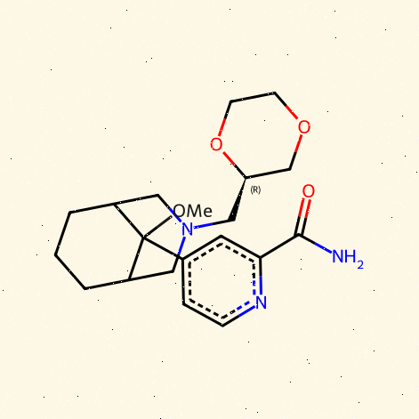 COC1(c2ccnc(C(N)=O)c2)C2CCCC1CN(C[C@@H]1COCCO1)C2